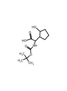 CC(C)(C)OC(=O)NC(C(=O)O)C1CCCC1O